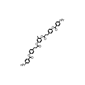 CCCc1ccc(C(=O)Oc2ccc(CCC(=O)Oc3ccc(OC(=O)CCc4ccc(OC(=O)c5ccc(CCC)cc5)cc4)c(C)c3)cc2)cc1